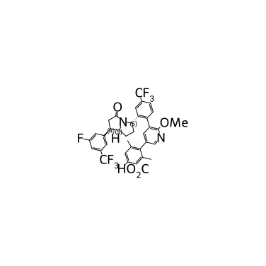 COc1ncc(-c2c(C)cc(C(=O)O)cc2C)cc1-c1ccc(C(F)(F)F)cc1[C@@H]1CC[C@H]2[C@@H](c3cc(F)cc(C(F)(F)F)c3)CC(=O)N12